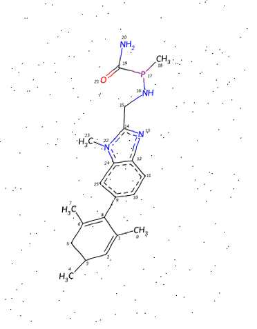 CC1=CC(C)CC(C)=C1c1ccc2nc(CNP(C)C(N)=O)n(C)c2c1